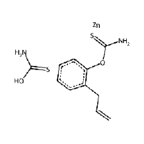 C=CCc1ccccc1OC(N)=S.NC(O)=S.[Zn]